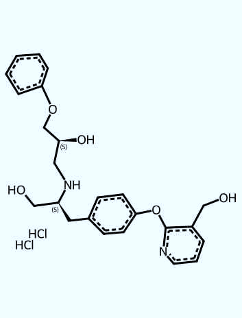 Cl.Cl.OCc1cccnc1Oc1ccc(C[C@@H](CO)NC[C@H](O)COc2ccccc2)cc1